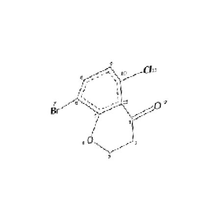 O=C1CCOc2c(Br)ccc(Cl)c21